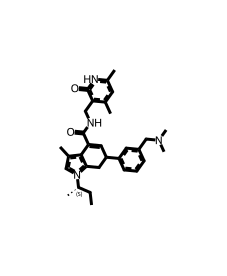 CC[C@H](C)n1cc(C)c2c1CC(c1cccc(CN(C)C)c1)C=C2C(=O)NCc1c(C)cc(C)[nH]c1=O